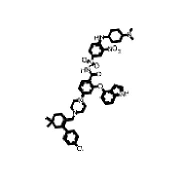 CN(C)C1CCC(Nc2ccc(S(=O)(=O)NC(=O)c3ccc(N4CCN(CC5=C(c6ccc(Cl)cc6)CC(C)(C)CC5)CC4)cc3Oc3cccc4[nH]ccc34)cc2[N+](=O)[O-])CC1